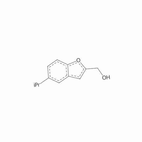 CC(C)c1ccc2oc(CO)cc2c1